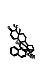 COC1(c2ccc3ccccc3n2)C2CC3C4CC[C@H]5N(C)C(=O)C=C[C@]5(C)C41CC[C@]3(C)[C@H]2O